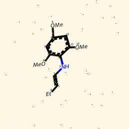 [CH2]CC=CNc1c(OC)cc(OC)cc1OC